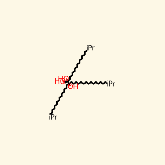 CC(C)CCCCCCCCCCCCCCCC(O)(CO)C(O)(CCCCCCCCCCCCCCCC(C)C)CCCCCCCCCCCCCCCC(C)C